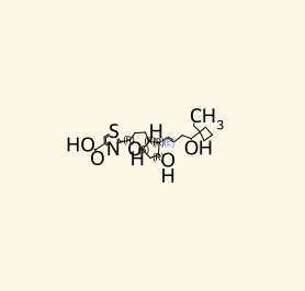 CCC1(C(O)C/C=C/[C@@H]2[C@H]3CC[C@H](c4nc(C(=O)O)cs4)O[C@H]3C[C@H]2O)CCC1